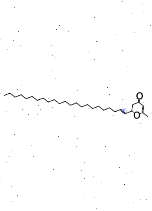 CCCCCCCCCCCCCCCCCCCCC/C=C/C1CC(=O)C=C(C)O1